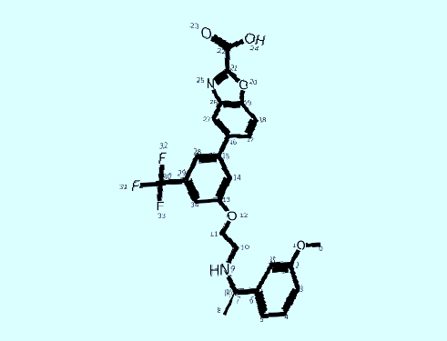 COc1cccc([C@@H](C)NCCOc2cc(-c3ccc4oc(C(=O)O)nc4c3)cc(C(F)(F)F)c2)c1